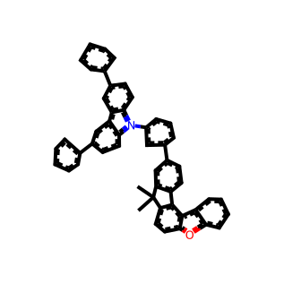 CC1(C)c2cc(-c3cccc(-n4c5ccc(-c6ccccc6)cc5c5cc(-c6ccccc6)ccc54)c3)ccc2-c2c1ccc1oc3ccccc3c21